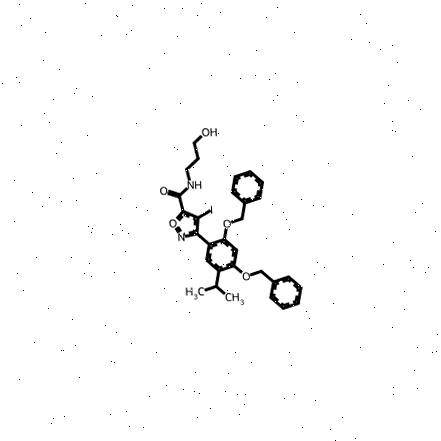 CC(C)c1cc(-c2noc(C(=O)NCCCO)c2I)c(OCc2ccccc2)cc1OCc1ccccc1